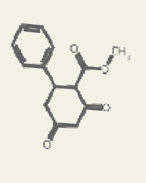 COC(=O)C1C(=O)CC(=O)CC1c1ccccc1